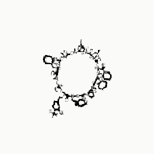 CC[C@H](C)[C@@H]1NC(=O)[C@H](CC(C)C)N(C)C(=O)C[C@@H](C(=O)N2CCCCC2)N(C)C(=O)[C@H](C2CCCCC2)N(C)C(=O)C2(CCCC2)NC(=O)CN(Cc2cccnc2)C(=O)[C@H](CCc2ccc(C(F)(F)F)c(Cl)c2)NC(=O)CN(C)C(=O)[C@H](CC2CCCCC2)N(C)C(=O)CN(C)C(=O)CN(C)C1=O